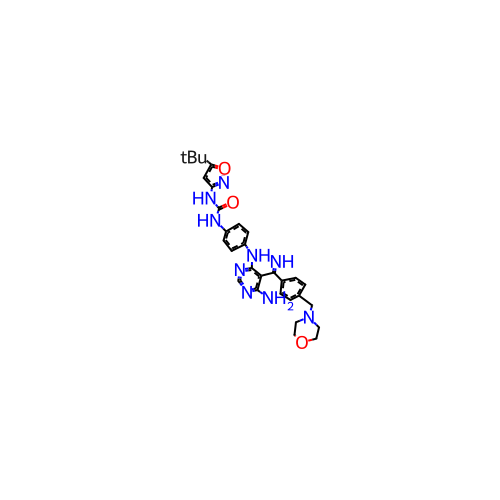 CC(C)(C)c1cc(NC(=O)Nc2ccc(Nc3ncnc(N)c3C(=N)c3ccc(CN4CCOCC4)cc3)cc2)no1